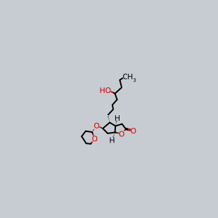 CCCC(O)CCCC[C@@H]1[C@H]2CC(=O)O[C@H]2C[C@H]1O[C@H]1CCCCO1